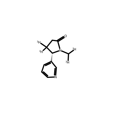 [2H]C([2H])N1C(=O)CC([2H])([2H])[C@H]1c1cccnc1